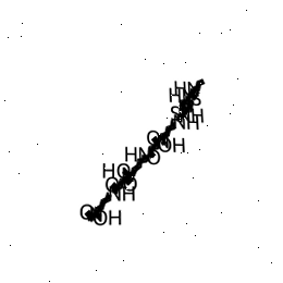 CCCNC(=S)Nc1ccc(NC(=S)NCCCCCN(O)C(=O)CCC(=O)NCCCCCN(O)C(=O)CCC(=O)NCCCCCN(O)C(C)=O)cc1